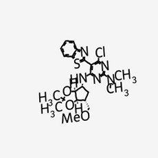 COC[C@H]1C[C@@H](Nc2nc(N(C)C)nc(Cl)c2-c2nc3ccccc3s2)[C@@H]2OC(C)(C)O[C@H]12